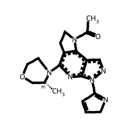 CC(=O)N1CCc2c(N3CCOC[C@H]3C)nc3c(cnn3C3=NCC=C3)c21